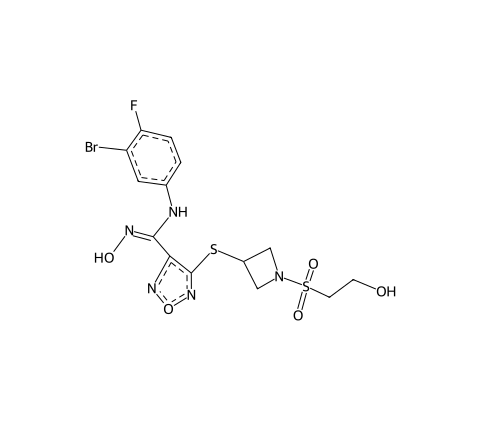 O=S(=O)(CCO)N1CC(Sc2nonc2C(=NO)Nc2ccc(F)c(Br)c2)C1